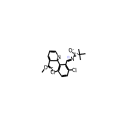 COC(=S)c1cccnc1-c1c(Cl)ccc(Cl)c1/C=N/[S+]([O-])C(C)(C)C